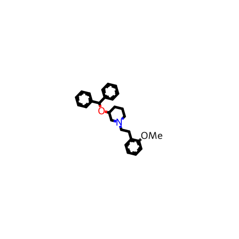 COc1ccccc1CCN1CCCC(OC(c2ccccc2)c2ccccc2)C1